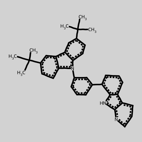 CC(C)(C)c1ccc2c(c1)c1cc(C(C)(C)C)ccc1n2-c1cccc(-c2cccc3c2[nH]c2ncccc23)c1